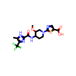 COC1CN(c2ncc(C(=O)O)s2)CCC1NC(=O)c1nc(C(F)(F)F)c(C)[nH]1